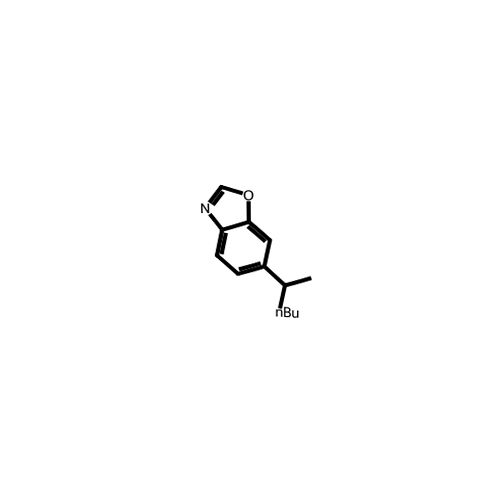 [CH2]CCCC(C)c1ccc2ncoc2c1